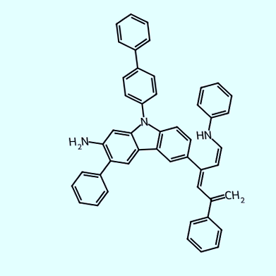 C=C(/C=C(\C=C/Nc1ccccc1)c1ccc2c(c1)c1cc(-c3ccccc3)c(N)cc1n2-c1ccc(-c2ccccc2)cc1)c1ccccc1